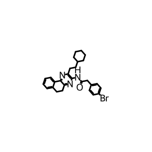 O=C(Cc1ccc(Br)cc1)Nc1nc2c(nc1CCC1CCCCC1)-c1ccccc1CC2